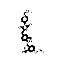 CCN1CCC(N2C(=O)SC(=Cc3ccc4c(cnn4Cc4ccc(OC)cc4C(F)(F)F)c3)C2=O)CC1